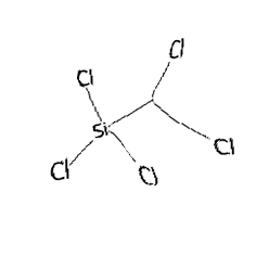 ClC(Cl)[Si](Cl)(Cl)Cl